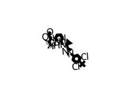 C[C@H](F)[C@H]1COC(=O)N1c1ccnc(NC2(c3cn(-c4cc(Cl)c(C(C)(C)C)c(Cl)c4)cn3)CC2)n1